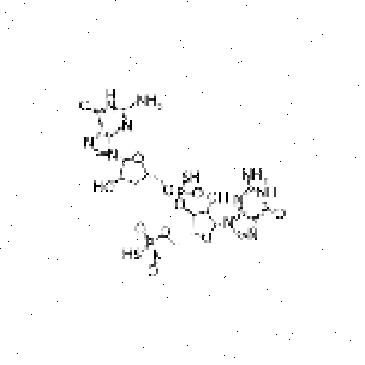 Nc1nc2c(ncn2[C@@H]2O[C@H](COP(=O)(S)N=O)[C@@H](O[P@](=O)(S)OC[C@@H]3C[C@@H](O)[C@H](n4cnc5c(=O)[nH]c(N)nc54)O3)[C@H]2O)c(=O)[nH]1